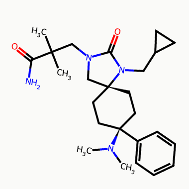 CN(C)[C@]1(c2ccccc2)CC[C@@]2(CC1)CN(CC(C)(C)C(N)=O)C(=O)N2CC1CC1